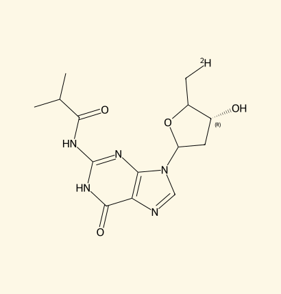 [2H]CC1OC(n2cnc3c(=O)[nH]c(NC(=O)C(C)C)nc32)C[C@H]1O